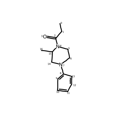 CCC(=O)N1CCN(c2ccccc2)CC1C